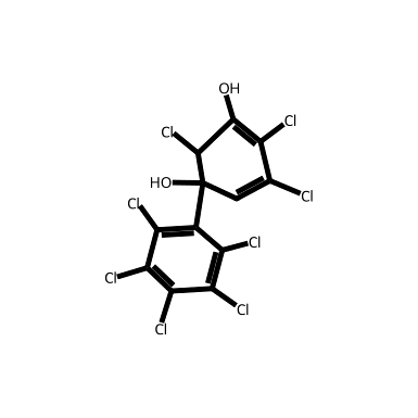 OC1=C(Cl)C(Cl)=CC(O)(c2c(Cl)c(Cl)c(Cl)c(Cl)c2Cl)C1Cl